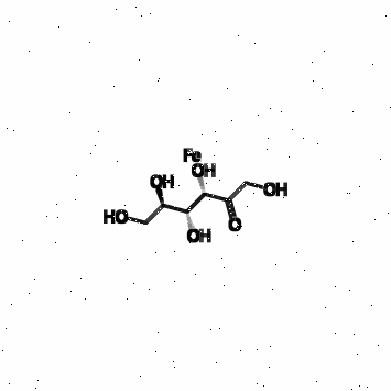 O=C(CO)[C@@H](O)[C@H](O)[C@H](O)CO.[Fe]